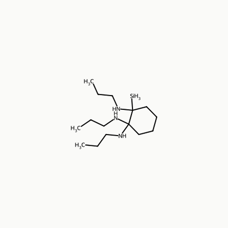 CCCNC1([SiH3])CCCCC1(NCCC)NCCC